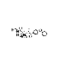 CC(CC(CO)NC(=O)c1ccc(Oc2ccccc2)cc1)C(=O)NO